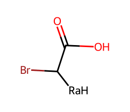 O=C(O)[CH](Br)[RaH]